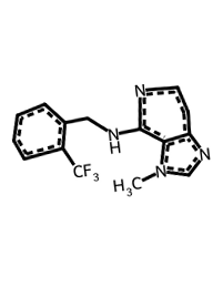 Cn1cnc2ccnc(NCc3ccccc3C(F)(F)F)c21